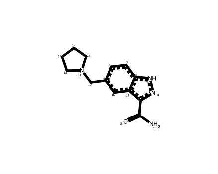 NC(=O)c1n[nH]c2ccc(CN3CCCC3)cc12